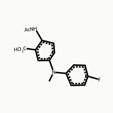 CC(=O)Nc1ccc(N(C)c2ccc(F)cc2)cc1C(=O)O